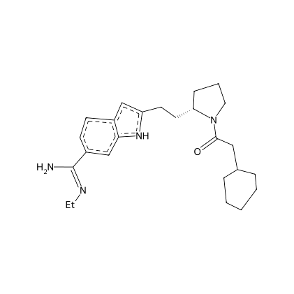 CCN=C(N)c1ccc2cc(CC[C@@H]3CCCN3C(=O)CC3CCCCC3)[nH]c2c1